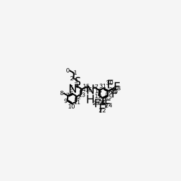 CCCSc1nc2c(C)cccc2cc1CNCc1cc(C(F)(F)F)cc(C(F)(F)F)c1